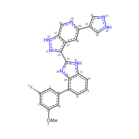 COc1cc(F)cc(-c2cccc3[nH]c(-c4n[nH]c5cnc(-c6cn[nH]c6)cc45)nc23)c1